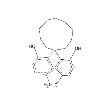 Cc1ccc(O)c(C2(c3cc(C)ccc3O)CCCCCCCCC2)c1